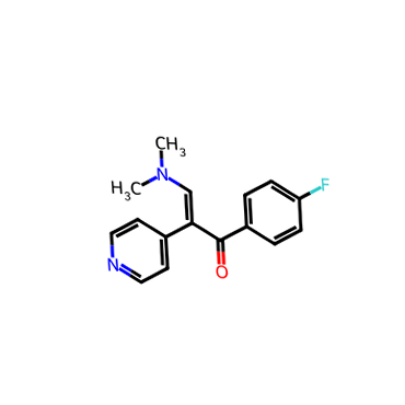 CN(C)C=C(C(=O)c1ccc(F)cc1)c1ccncc1